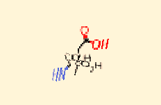 CC(=O)O.CCC(=O)O.N=CC(=O)O